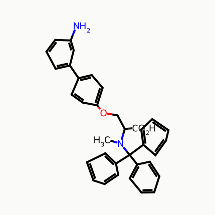 CN(C(COc1ccc(-c2cccc(N)c2)cc1)C(=O)O)C(c1ccccc1)(c1ccccc1)c1ccccc1